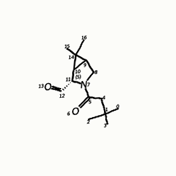 CC(C)(C)CC(=O)N1CC2C([C@H]1C=O)C2(C)C